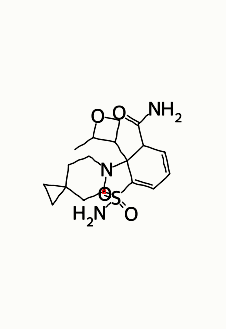 CC1OCC1C1(N2CCC3(CC2)CC3)C(S(N)(=O)=O)=CC=CC1C(N)=O